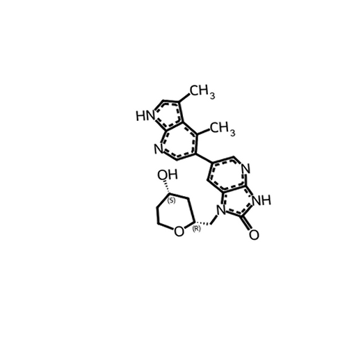 Cc1c[nH]c2ncc(-c3cnc4[nH]c(=O)n(C[C@H]5C[C@@H](O)CCO5)c4c3)c(C)c12